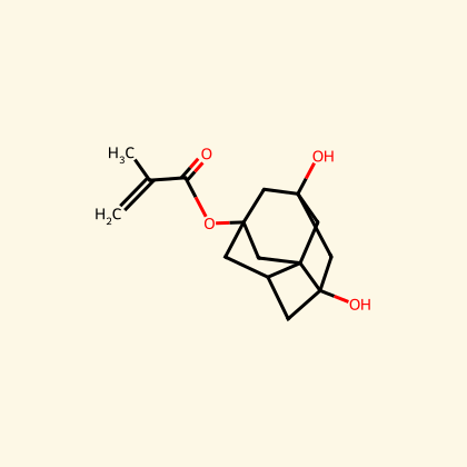 C=C(C)C(=O)OC12CC3CC4(O)CC(O)(C1)CC34C2